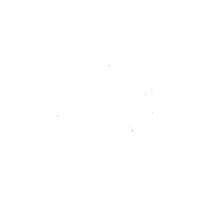 Oc1c(Br)cc(Br)c2cccnc12.[AlH3]